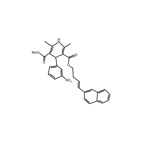 COC(=O)C1=C(C)NC(C)=C(C(=O)OCCC=Cc2ccc3ccccc3c2)C1c1cccc([N+](=O)[O-])c1